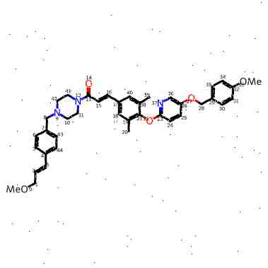 COCC=Cc1ccc(CN2CCN(C(=O)C=Cc3cc(C)c(Oc4ccc(OCc5ccc(OC)cc5)cn4)c(C)c3)CC2)cc1